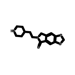 O=C1c2cc3c(cc2CN1CCC1CCNCC1)OCO3